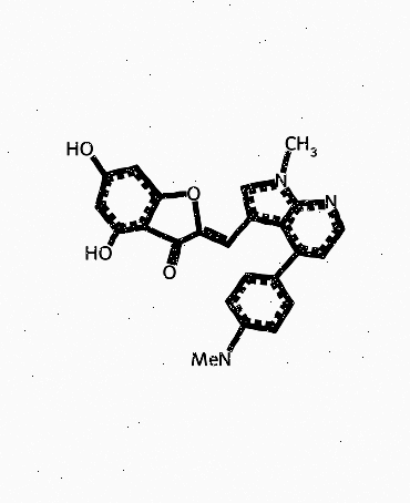 CNc1ccc(-c2ccnc3c2c(C=C2Oc4cc(O)cc(O)c4C2=O)cn3C)cc1